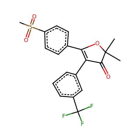 CC1(C)OC(c2ccc(S(C)(=O)=O)cc2)=C(c2cccc(C(F)(F)F)c2)C1=O